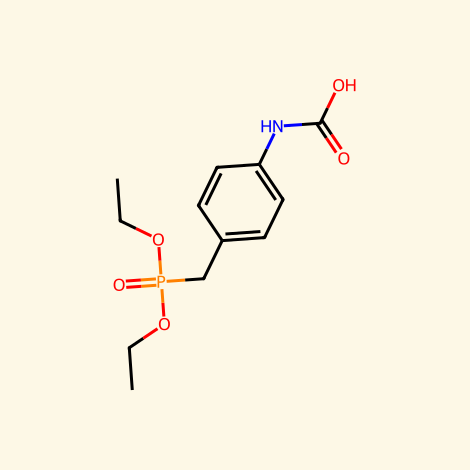 CCOP(=O)(Cc1ccc(NC(=O)O)cc1)OCC